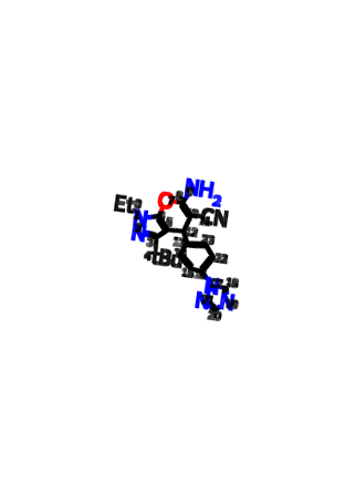 CCn1nc(C(C)(C)C)c2c1OC(N)=C(C#N)C2c1ccc(-n2cncn2)cc1